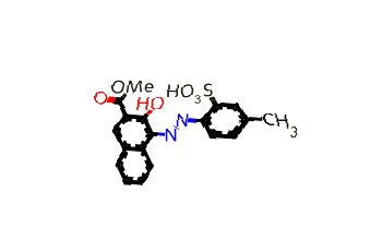 COC(=O)c1cc2ccccc2c(/N=N/c2ccc(C)cc2S(=O)(=O)O)c1O